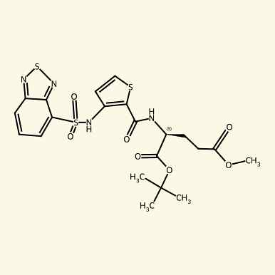 COC(=O)CC[C@H](NC(=O)c1sccc1NS(=O)(=O)c1cccc2nsnc12)C(=O)OC(C)(C)C